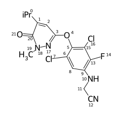 CC(C)c1cc(Oc2c(Cl)cc(NCC#N)c(F)c2Cl)nn(C)c1=O